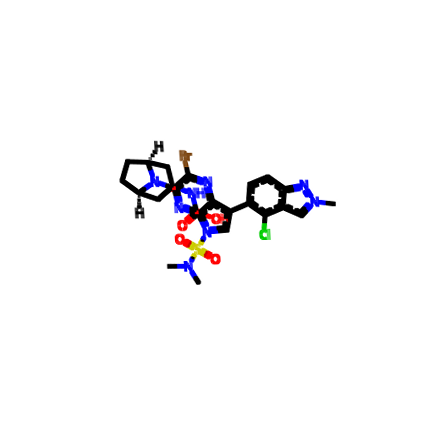 CN(C)S(=O)(=O)n1cc(-c2ccc3nn(C)cc3c2Cl)c2nc(Br)c(N3[C@@H]4CC[C@H]3C[C@@H](NC(=O)O)C4)nc21